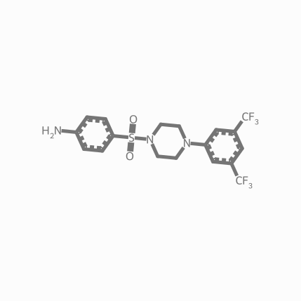 Nc1ccc(S(=O)(=O)N2CCN(c3cc(C(F)(F)F)cc(C(F)(F)F)c3)CC2)cc1